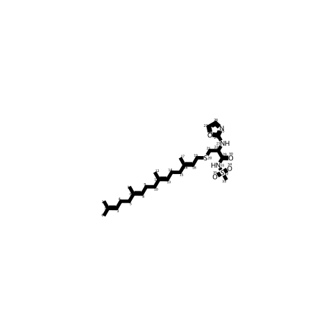 CC(C)=CCC/C(C)=C/CC/C(C)=C/CC/C(C)=C/CSCC(Nc1ncco1)C(=O)NS(C)(=O)=O